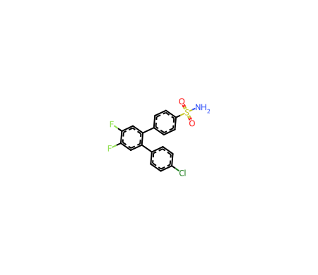 NS(=O)(=O)c1ccc(-c2cc(F)c(F)cc2-c2ccc(Cl)cc2)cc1